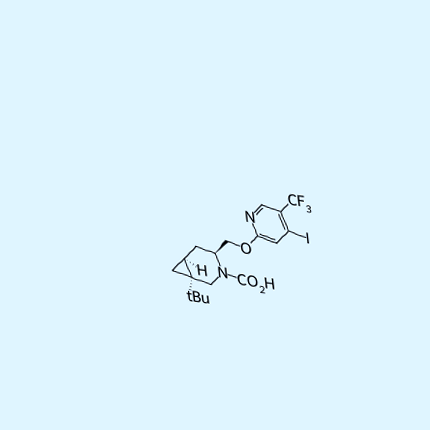 CC(C)(C)[C@]12C[C@H]1C[C@@H](COc1cc(I)c(C(F)(F)F)cn1)N(C(=O)O)C2